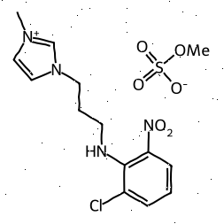 COS(=O)(=O)[O-].C[n+]1ccn(CCCNc2c(Cl)cccc2[N+](=O)[O-])c1